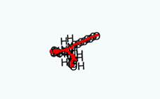 COCCOCCOCCOCCOCCOCCOCCOCCC(=O)NCCCC[C@H](NC(=O)CCN1CCc2nc(S(=O)(=O)C3CCCC3)ncc2C1=O)C(=O)NCC(=O)NCC(=O)N[C@@H](Cc1ccccc1)C(=O)NCC(=O)NCO[C@H](C(=O)O)C1CC1